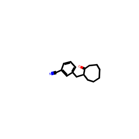 N#Cc1cccc(CC2CCCCCCC2=O)c1